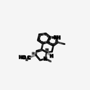 Cc1[nH]c2cccc3c2c1C[C@@H]1C3=C[C@@H](C(=O)O)CN1C